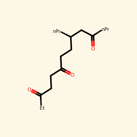 CCCC(=O)CC(CCC)CCC(=O)CCC(=O)CC